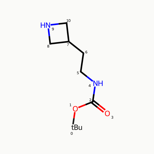 CC(C)(C)OC(=O)NCCC1CNC1